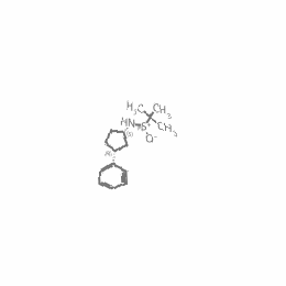 CC(C)(C)[S@+]([O-])N[C@H]1CC[C@@H](c2ccccc2)C1